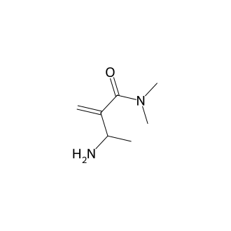 C=C(C(=O)N(C)C)C(C)N